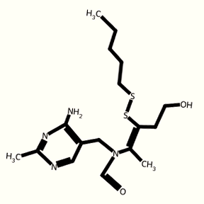 CCCCCSSC(CCO)=C(C)N(C=O)Cc1cnc(C)nc1N